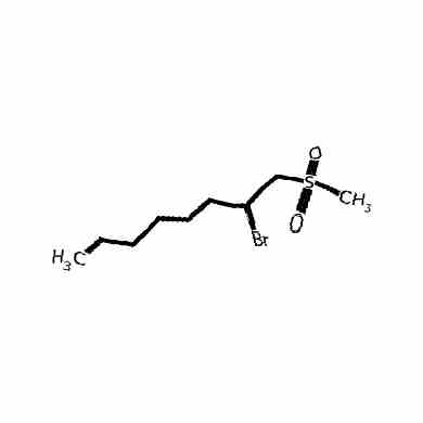 CCCCCCC(Br)CS(C)(=O)=O